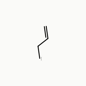 [C]CC=C